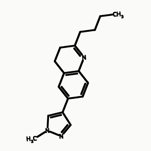 CCCCC1=Nc2ccc(-c3cnn(C)c3)cc2CC1